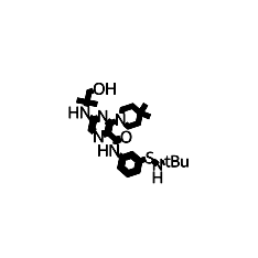 CC1(C)CCN(c2nc(NC(C)(C)CO)cnc2C(=O)Nc2cccc(SNC(C)(C)C)c2)CC1